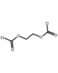 CCC(=O)OCCOC(=O)Cl